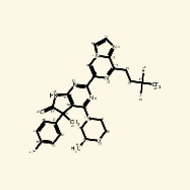 C[C@H]1CN(c2nc(-c3cn4ccnc4c(CCC(F)(F)C(F)(F)F)n3)nc3c2C(C)(c2ccc(F)cc2)C(=O)N3)CCO1